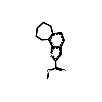 COC(=O)c1cc2ccc3c(c2s1)CCCCC3